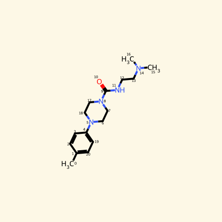 Cc1ccc(N2CCN(C(=O)NCCN(C)C)CC2)cc1